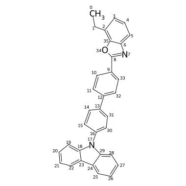 CCc1cccc2nc(-c3ccc(-c4ccc(-n5c6ccccc6c6ccccc65)cc4)cc3)oc12